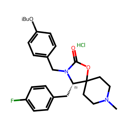 CC(C)COc1ccc(CN2C(=O)OC3(CCN(C)CC3)[C@@H]2Cc2ccc(F)cc2)cc1.Cl